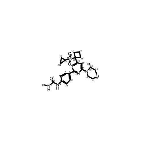 CNC(=O)Nc1ccc(-c2nc(N3CCOC[C@@H]3C)cc(C3(S(=O)(=O)C4CC4)CCC3)n2)cc1